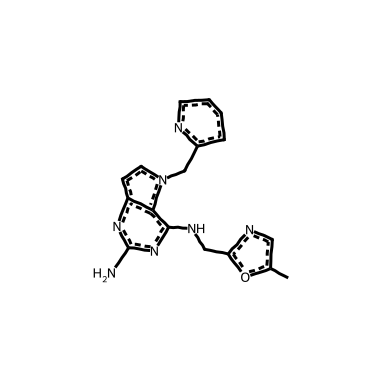 Cc1cnc(CNc2nc(N)nc3ccn(Cc4ccccn4)c23)o1